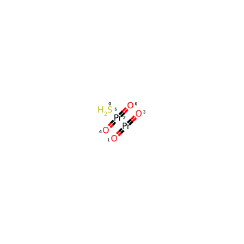 S.[O]=[Pr]=[O].[O]=[Pr]=[O]